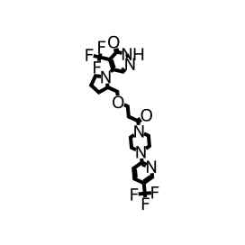 O=C(CCOCC1CCCN1c1cn[nH]c(=O)c1C(F)(F)F)N1CCN(c2ccc(C(F)(F)F)cn2)CC1